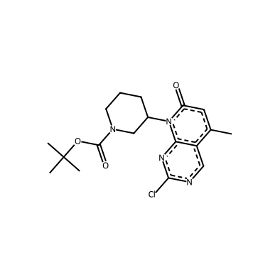 Cc1cc(=O)n(C2CCCN(C(=O)OC(C)(C)C)C2)c2nc(Cl)ncc12